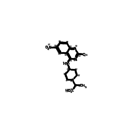 CC(C(=O)O)N1CCC(Nc2nc(Cl)nc3ccc([N+](=O)[O-])cc23)CC1